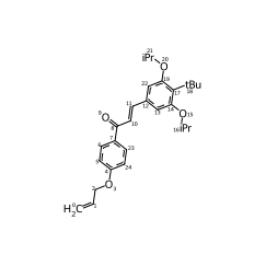 C=CCOc1ccc(C(=O)C=Cc2cc(OC(C)C)c(C(C)(C)C)c(OC(C)C)c2)cc1